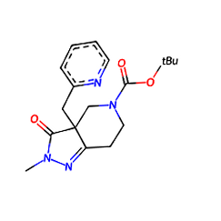 CN1N=C2CCN(C(=O)OC(C)(C)C)CC2(Cc2ccccn2)C1=O